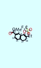 CCC1=C(OS(=O)(=O)C(F)(F)F)c2cc(C(=O)OC)ccc2CC1